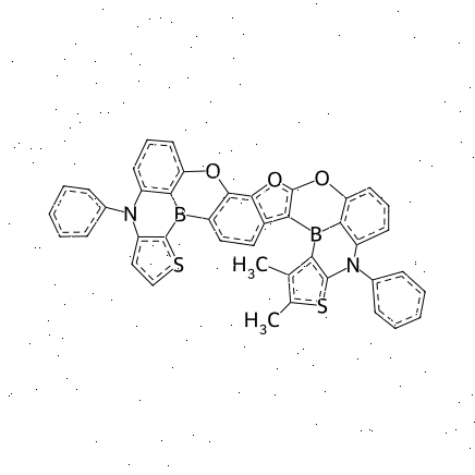 Cc1sc2c(c1C)B1c3c(cccc3N2c2ccccc2)Oc2oc3c4c(ccc3c21)B1c2sccc2N(c2ccccc2)c2cccc(c21)O4